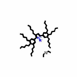 CCCCCC1=C(c2cc(CCCCC)c(CCCCC)c(CCCCC)c2)[N+](=[N-])C(c2cc(CCCCC)c(CCCCC)c(CCCCC)c2)=C1.C[CH2][Ni][CH2]C